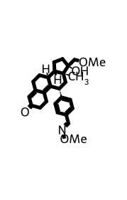 COC[C@]1(O)CC[C@H]2[C@@H]3CCC4=CC(=O)CCC4=C3[C@@H](c3ccc(C=NOC)cc3)C[C@@]21C